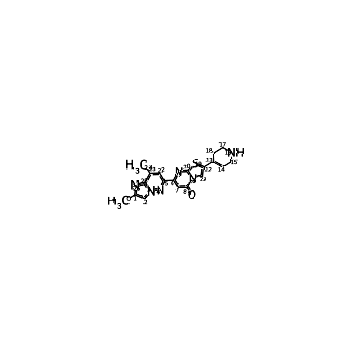 Cc1cn2nc(-c3cc(=O)n4cc(C5=CCNCC5)sc4n3)cc(C)c2n1